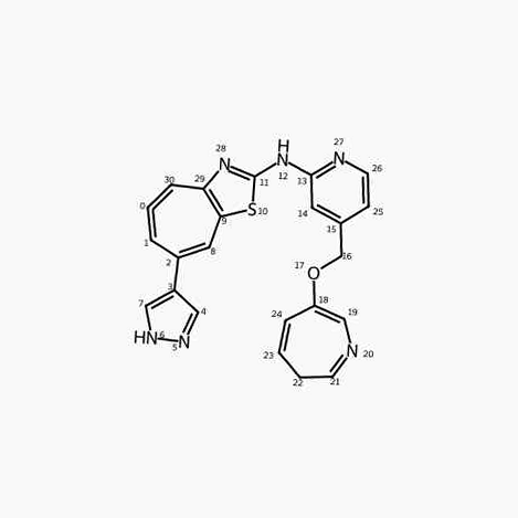 C1=CC(c2cn[nH]c2)=Cc2sc(Nc3cc(COC4=CN=CCC=C4)ccn3)nc2C=1